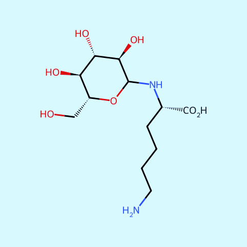 NCCCC[C@H](NC1O[C@H](CO)[C@@H](O)[C@H](O)[C@H]1O)C(=O)O